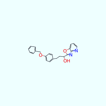 OC(CCc1ccc(OCc2ccccc2)cc1)c1nc2ncccc2o1